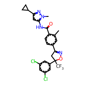 Cc1cc(C2=NOC(c3cc(Cl)cc(Cl)c3)(C(F)(F)F)C2)ccc1C(=O)Nc1cc(C2CC2)nn1C